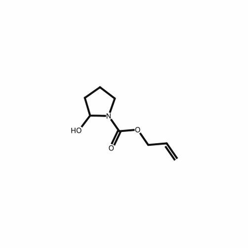 C=CCOC(=O)N1CCCC1O